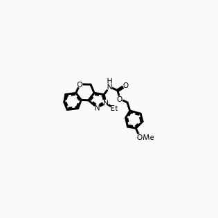 CCn1nc2c(c1NC(=O)OCc1ccc(OC)cc1)COc1ccccc1-2